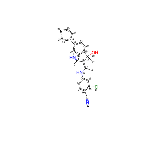 CC(=N)/C(=C(/C)Nc1ccc(C#N)c(Cl)c1)C(C)(O)c1ccc(-c2ccccc2)cc1